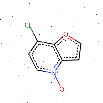 [O-][n+]1ccc(Cl)c2occc21